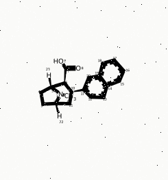 CN1[C@H]2CC[C@@H]1[C@@H](C(=O)O)[C@@H](c1ccc3ccccc3c1)C2